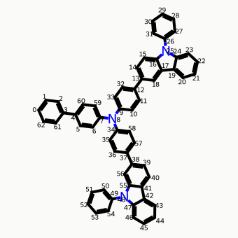 c1ccc(-c2ccc(N(c3ccc(-c4ccc5c(c4)c4ccccc4n5-c4ccccc4)cc3)c3ccc(-c4ccc5c6ccccc6n(-c6ccccc6)c5c4)cc3)cc2)cc1